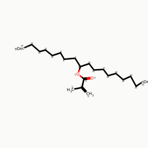 C=C(C)C(=O)OC(CCCCCCCCCCCCCCCCC)CCCCCCCCCCCCCCCCCC